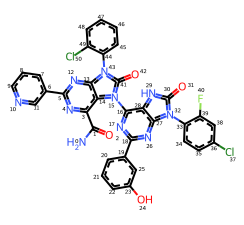 NC(=O)c1nc(-c2cccnc2)nc2c1n(-c1nc(-c3cccc(O)c3)nc3c1[nH]c(=O)n3-c1ccc(Cl)cc1F)c(=O)n2-c1ccccc1Cl